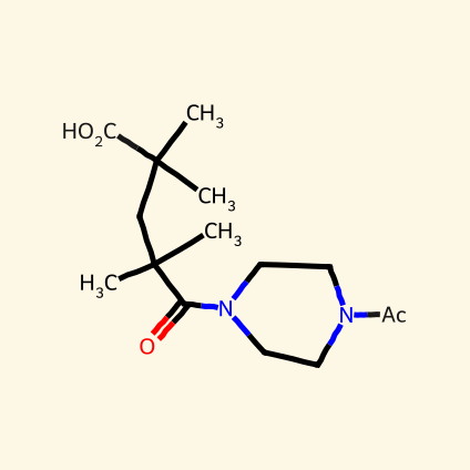 CC(=O)N1CCN(C(=O)C(C)(C)CC(C)(C)C(=O)O)CC1